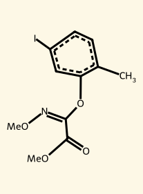 CON=C(Oc1cc(I)ccc1C)C(=O)OC